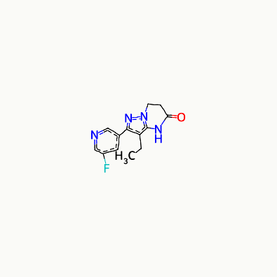 CCc1c(-c2cncc(F)c2)nn2c1NC(=O)CC2